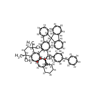 CC(C)c1ccc2c(c1-c1cc3c(cc1N(c1ccc(-c4ccccc4)cc1)c1cccc4c1CCCC4)C1(c4ccccc4-c4ccccc41)c1ccccc1-3)C(C)(C)CCC2(C)C